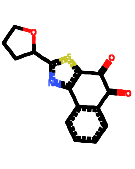 O=C1C(=O)c2sc(C3CCCO3)nc2-c2ccccc21